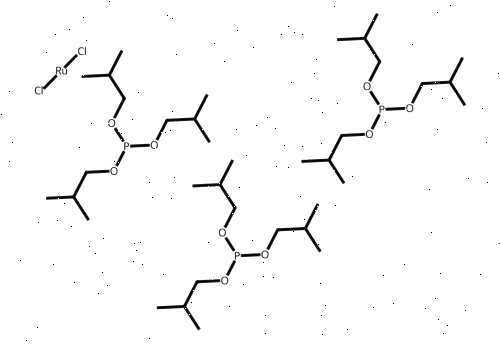 CC(C)COP(OCC(C)C)OCC(C)C.CC(C)COP(OCC(C)C)OCC(C)C.CC(C)COP(OCC(C)C)OCC(C)C.[Cl][Ru][Cl]